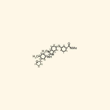 CNC(=O)c1cccc(Oc2ccc3c(c2)nc(Nc2ccc(C)c(C4CCCO4)c2)n3C)c1